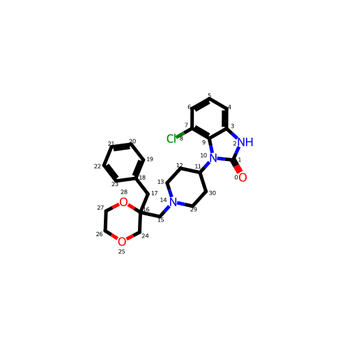 O=c1[nH]c2cccc(Cl)c2n1C1CCN(CC2(Cc3ccccc3)COCCO2)CC1